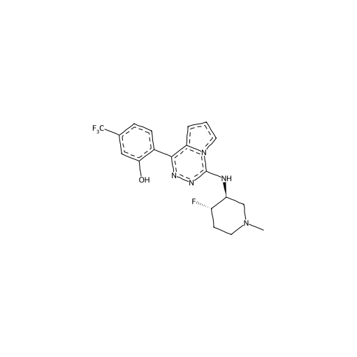 CN1CC[C@H](F)[C@@H](Nc2nnc(-c3ccc(C(F)(F)F)cc3O)c3cccn23)C1